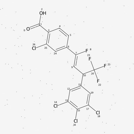 O=C(O)c1ccc(C(F)=CC(c2cc(Cl)c(Cl)c(Cl)c2)C(F)(F)F)cc1Cl